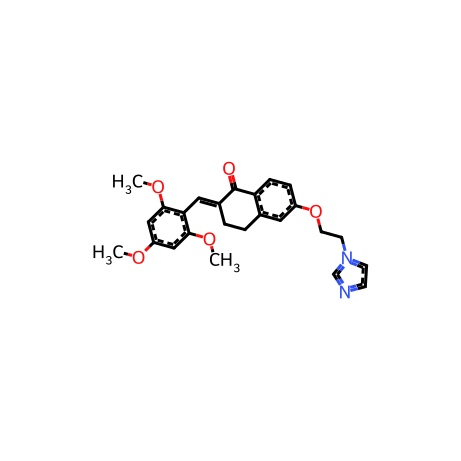 COc1cc(OC)c(/C=C2\CCc3cc(OCCn4ccnc4)ccc3C2=O)c(OC)c1